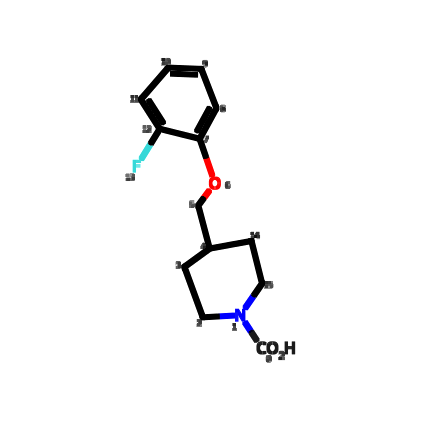 O=C(O)N1CCC(COc2ccccc2F)CC1